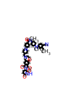 CCc1cc(N(C)[C@H]2CC[C@H](N(C)C(=O)c3ccc(N4CCC(CN5CCOc6cc7c(cc6C5)C(=O)N(C5CCC(=O)NC5=O)C7=O)CC4)cc3)CC2)ccc1C#N